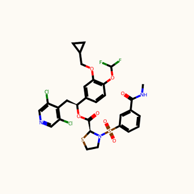 CNC(=O)c1cccc(S(=O)(=O)N2CCS[C@H]2C(=O)O[C@@H](Cc2c(Cl)cncc2Cl)c2ccc(OC(F)F)c(OCC3CC3)c2)c1